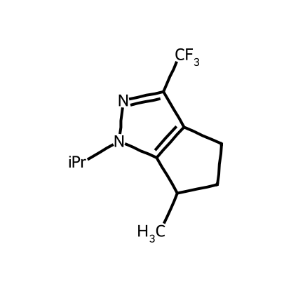 CC1CCc2c(C(F)(F)F)nn(C(C)C)c21